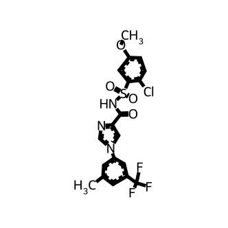 COc1ccc(Cl)c(S(=O)(=O)NC(=O)c2cn(-c3cc(C)cc(C(F)(F)F)c3)cn2)c1